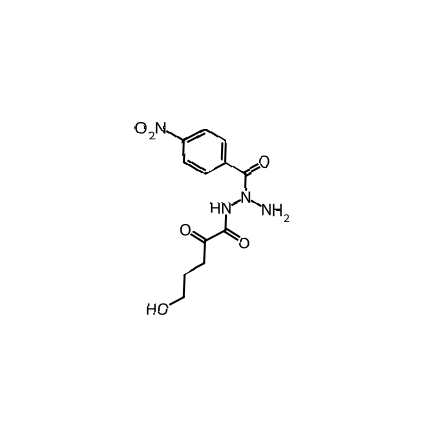 NN(NC(=O)C(=O)CCCO)C(=O)c1ccc([N+](=O)[O-])cc1